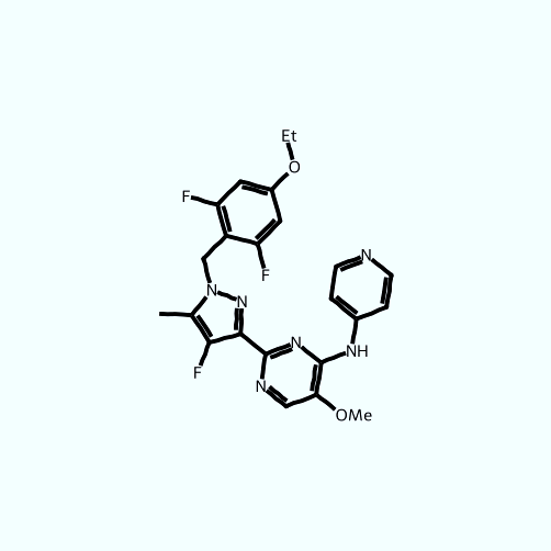 CCOc1cc(F)c(Cn2nc(-c3ncc(OC)c(Nc4ccncc4)n3)c(F)c2C)c(F)c1